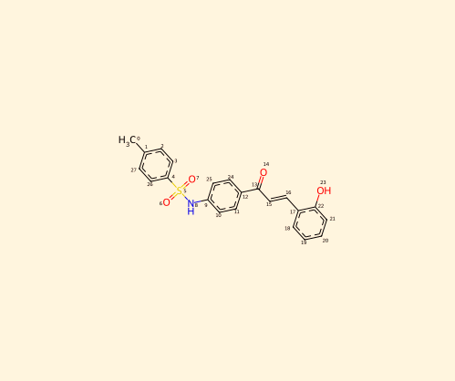 Cc1ccc(S(=O)(=O)Nc2ccc(C(=O)/C=C/c3ccccc3O)cc2)cc1